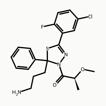 CO[C@@H](C)C(=O)N1N=C(c2cc(Cl)ccc2F)SC1(CCCN)c1ccccc1